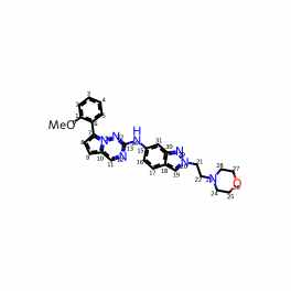 COc1ccccc1-c1ccc2cnc(Nc3ccc4cn(CCN5CCOCC5)nc4c3)nn12